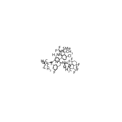 CSNC(C)c1c(Cl)ccc(-c2ccc(C#CC(C)(C)[S+]([O-])C3CC3)nc2[C@H](Cc2cc(F)cc(F)c2)NC(=O)CN(N)C2=C(C(C)C(F)F)C(F)(F)CCC2(F)F)c1N(N)CC(F)F